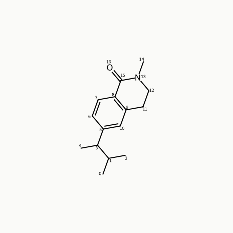 CC(C)C(C)c1ccc2c(c1)CCN(C)C2=O